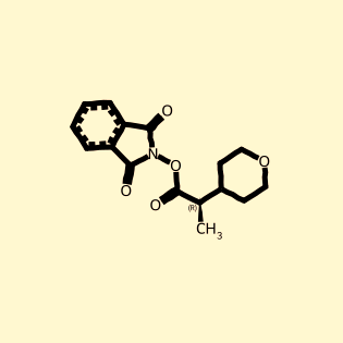 C[C@@H](C(=O)ON1C(=O)c2ccccc2C1=O)C1CCOCC1